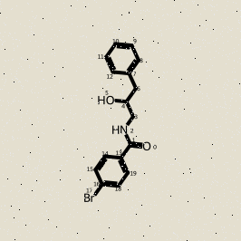 O=C(NCC(O)Cc1ccccc1)c1ccc(Br)cc1